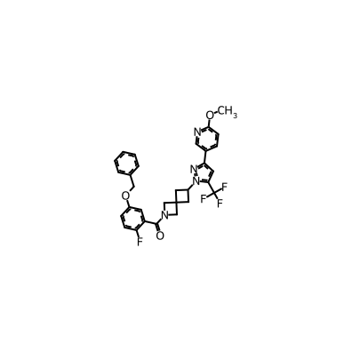 COc1ccc(-c2cc(C(F)(F)F)n(C3CC4(C3)CN(C(=O)c3cc(OCc5ccccc5)ccc3F)C4)n2)cn1